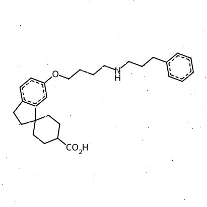 O=C(O)C1CCC2(CCc3ccc(OCCCCNCCCc4ccccc4)cc32)CC1